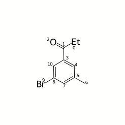 CCC(=O)c1cc(C)cc(Br)c1